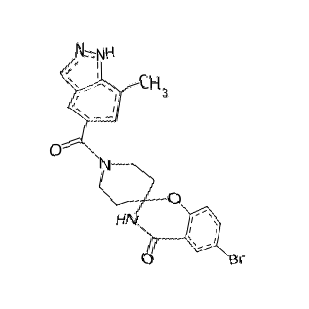 Cc1cc(C(=O)N2CCC3(CC2)NC(=O)c2cc(Br)ccc2O3)cc2cn[nH]c12